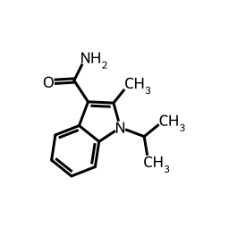 Cc1c(C(N)=O)c2ccccc2n1C(C)C